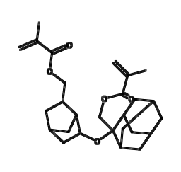 C=C(C)C(=O)OCC1CC2CC(OC3(COC(=O)C(=C)C)C4CC5CC(C4)CC3C5)C1C2